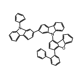 c1ccc(-c2ccccc2-c2ccc(-n3c4ccccc4c4ccc(-c5ccc6c7ccccc7n(-c7ccccc7)c6c5)cc43)c3c2oc2ccccc23)cc1